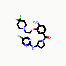 Nc1ccc(C(=O)N2CCC(Nc3ncc(Br)cn3)C2)cc1OCCN1CCC(F)(F)CC1